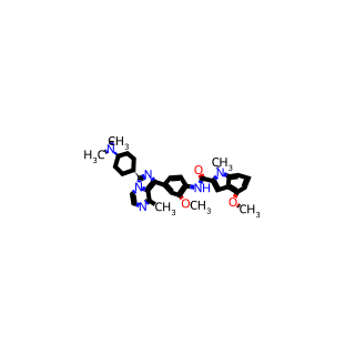 COc1cc(-c2nc([C@H]3CC[C@H](N(C)C)CC3)n3ccnc(C)c23)ccc1NC(=O)c1cc2c(OC)cccc2n1C